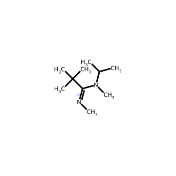 C/N=C(\N(C)C(C)C)C(C)(C)C